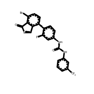 O=C(Nc1cccc(C(F)(F)F)c1)Nc1ccc(-c2ccc(Br)c3c2C=NC3=O)c(F)c1